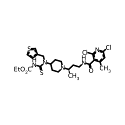 CCOC(=O)NC(=S)N(Cc1ccsc1)C1CCN([C@H](C)CCNC(=O)c2c(C)cc(Cl)nc2Cl)CC1